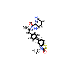 Cn1c(=O)sc2ccc(-c3ccc(C[C@@H](C#N)NC(=O)C4CCCCN4)cc3)cc21